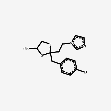 CCCCC1CSC(CCn2ccnc2)(Cc2ccc(CC)cc2)S1